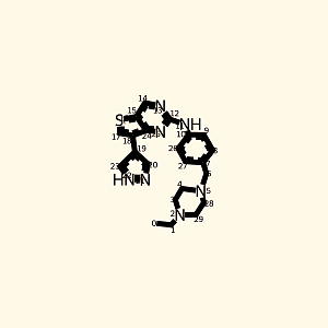 CCN1CCN(Cc2ccc(Nc3ncc4scc(-c5cn[nH]c5)c4n3)cc2)CC1